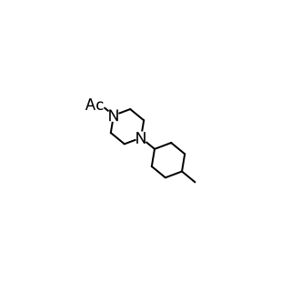 CC(=O)N1CCN(C2CCC(C)CC2)CC1